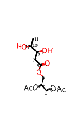 CC(=O)OCC(COC(=O)CC(O)C(C)O)OC(C)=O